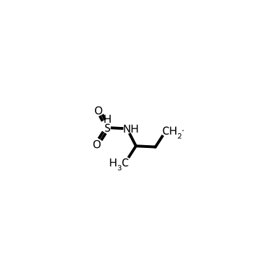 [CH2]CC(C)N[SH](=O)=O